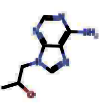 CC([O])Cn1cnc2c(N)ncnc21